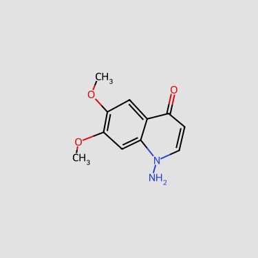 COc1cc2c(=O)ccn(N)c2cc1OC